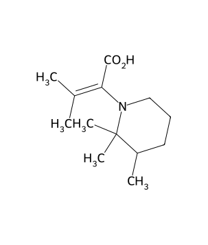 CC(C)=C(C(=O)O)N1CCCC(C)C1(C)C